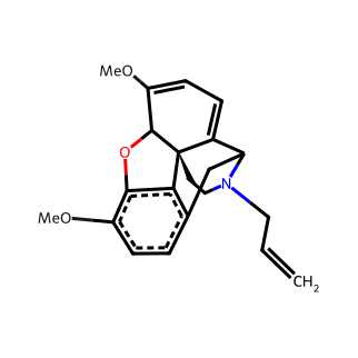 C=CCN1CC[C@]23C4=CC=C(OC)C2Oc2c(OC)ccc(c23)CC41